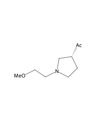 COCCN1CC[C@@H](C(C)=O)C1